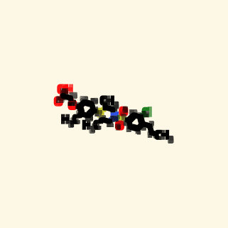 CCCc1ccc(S(=O)(=O)N(CCC)CC(C)Sc2ccc(OCC(=O)O)c(C)c2)cc1Cl